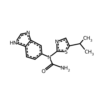 CC(C)c1cnc(N(C(N)=O)c2ccc3[nH]cnc3c2)s1